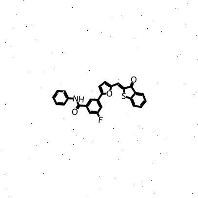 O=C(Nc1ccccc1)c1cc(F)cc(-c2ccc(/C=C3\Sc4ccccc4C3=O)o2)c1